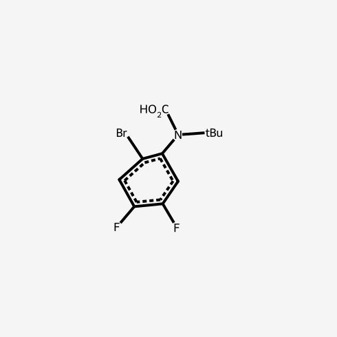 CC(C)(C)N(C(=O)O)c1cc(F)c(F)cc1Br